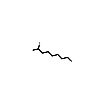 CC(F)CCCCCCF